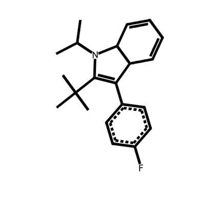 CC(C)N1C(C(C)(C)C)=C(c2ccc(F)cc2)C2C=CC=CC21